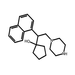 OC1(C(CN2CCNCC2)c2cccc3ccccc23)CCCC1